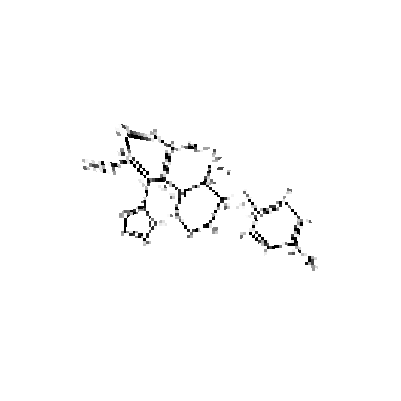 Cc1cnc(C=O)c(-c2ncco2)c1N1CCC[C@@H](Nc2ccc(Br)cn2)[C@@H]1C